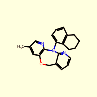 Cc1cnc2c(c1)OCc1cccnc1N2c1cccc2c1CCCC2